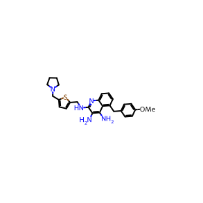 COc1ccc(Cc2cccc3nc(NCc4ccc(CN5CCCC5)s4)c(N)c(N)c23)cc1